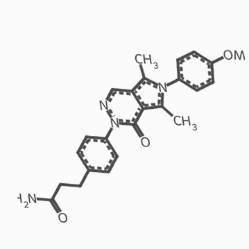 COc1ccc(-n2c(C)c3cnn(-c4ccc(CCC(N)=O)cc4)c(=O)c3c2C)cc1